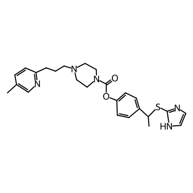 Cc1ccc(CCCN2CCN(C(=O)Oc3ccc(C(C)Sc4ncc[nH]4)cc3)CC2)nc1